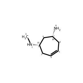 CN[C@H]1CC=CC[C@@H](N)C1